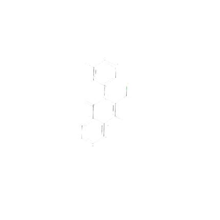 O=C(O)c1c(CBr)n(-c2cccc(F)c2)c(=O)c2ccccc12